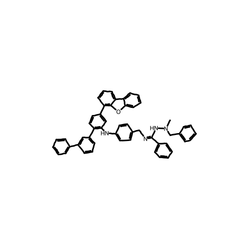 CN(Cc1ccccc1)N/C(=N\Cc1ccc(Nc2cc(-c3cccc4c3oc3ccccc34)ccc2-c2cccc(-c3ccccc3)c2)cc1)c1ccccc1